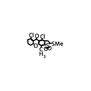 CSC1Cc2c(Cl)c(C(=O)C3=C(Cl)CCCC3=O)cc(C)c2S1(=O)=O